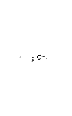 CCCc1c(C(=O)O)nnn1-c1ccc(C(=O)NC(C)CC)cc1